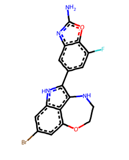 Nc1nc2cc(-c3[nH]c4cc(Br)cc5c4c3NCCO5)cc(F)c2o1